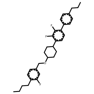 CCCCc1ccc(COC2CCC(c3ccc(-c4ccc(CCC)cc4)c(F)c3F)CC2)cc1F